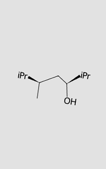 CC(C)[C@H](C)C[C@H](O)C(C)C